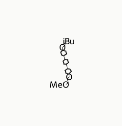 CCC(C)COc1ccc(-c2ccc(-c3ccc(OCCOC)cc3)cc2)cc1